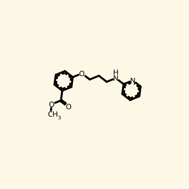 COC(=O)c1cccc(OCCCNc2ccccn2)c1